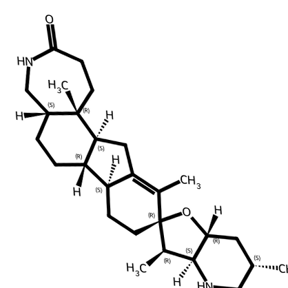 CC1=C2C[C@H]3[C@@H](CC[C@@H]4CNC(=O)CC[C@@]43C)[C@@H]2CC[C@]12O[C@@H]1C[C@H](C)CN[C@H]1[C@H]2C